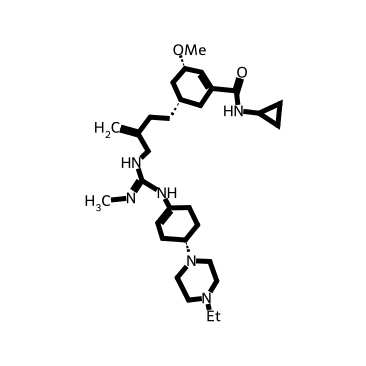 C=C(CC[C@H]1CC(C(=O)NC2CC2)=C[C@@H](OC)C1)CN/C(=N\C)NC1=CC[C@@H](N2CCN(CC)CC2)CC1